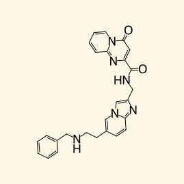 O=C(NCc1cn2cc(CCNCc3ccccc3)ccc2n1)c1cc(=O)n2ccccc2n1